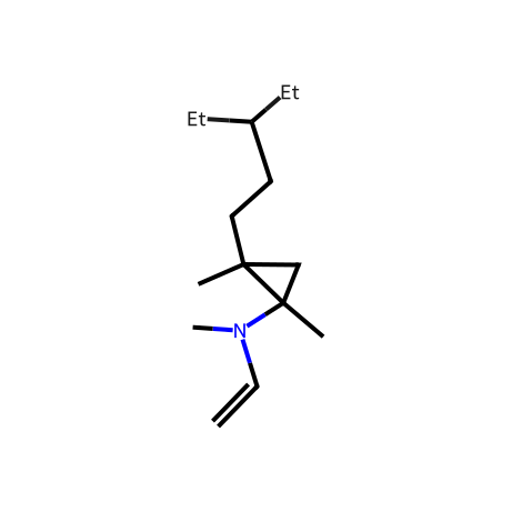 C=CN(C)C1(C)CC1(C)CCC(CC)CC